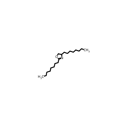 CCCCCCCCC1=NC(CCCCCCCC)CO1